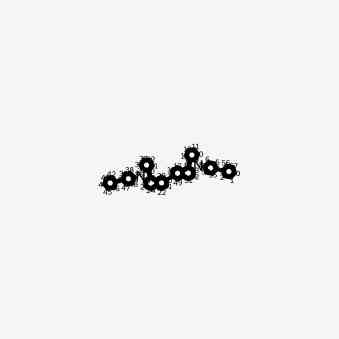 c1ccc(-c2ccc(-n3c4ccccc4c4c5ccc(-c6ccc7ccc8c(c7c6)c6ccccc6n8-c6ccc(-c7ccccc7)cc6)cc5ccc43)cc2)cc1